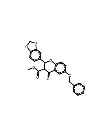 COC(=O)C1C(=O)c2cc(OCc3ccccc3)ccc2OC1c1ccc2c(c1)OCO2